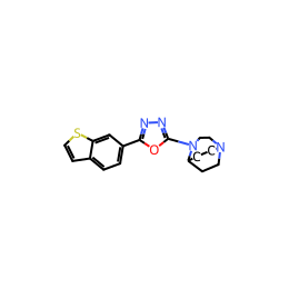 c1cc2ccc(-c3nnc(N4CCN5CCC4CC5)o3)cc2s1